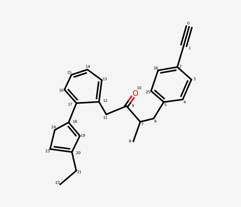 C#Cc1ccc(CC(C)C(=O)Cc2ccccc2C2=CC(CC)=CC2)cc1